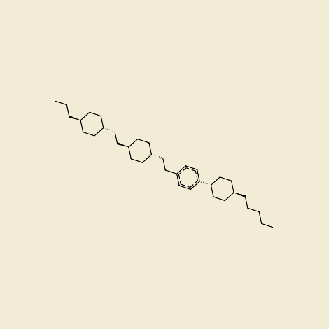 CCCCC[C@H]1CC[C@H](c2ccc(CC[C@H]3CC[C@H](CC[C@H]4CC[C@H](CCC)CC4)CC3)cc2)CC1